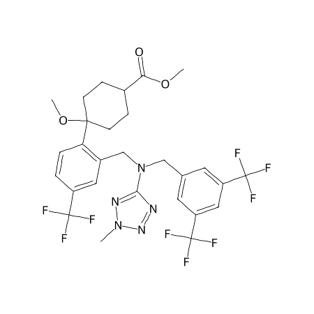 COC(=O)C1CCC(OC)(c2ccc(C(F)(F)F)cc2CN(Cc2cc(C(F)(F)F)cc(C(F)(F)F)c2)c2nnn(C)n2)CC1